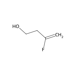 C=C(F)CCO